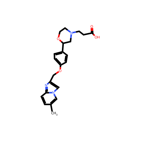 Cc1ccc2nc(COc3ccc(C4CN(CCC(=O)O)CCO4)cc3)cn2c1